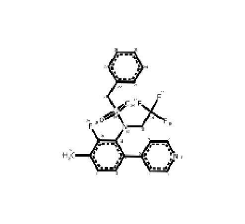 [CH2]c1ccc(-c2ccncc2)c(N(CC(F)(F)F)S(=O)(=O)Cc2ccccc2)c1F